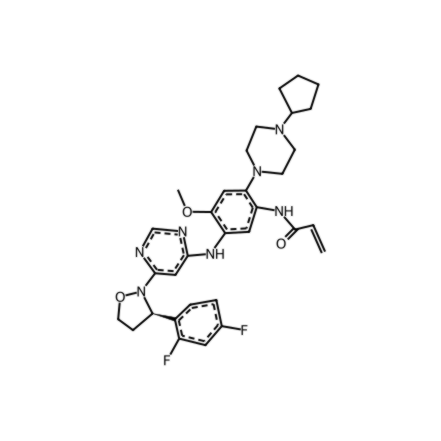 C=CC(=O)Nc1cc(Nc2cc(N3OCC[C@@H]3c3ccc(F)cc3F)ncn2)c(OC)cc1N1CCN(C2CCCC2)CC1